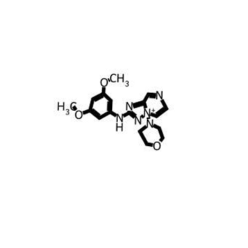 COc1cc(NC2=N[N+]3(N4CCOCC4)C=CN=CC3=N2)cc(OC)c1